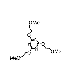 COCCOc1nc(OCCOC)nc(OCCOC)n1